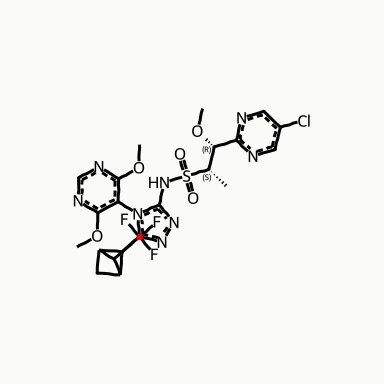 COc1ncnc(OC)c1-n1c(NS(=O)(=O)[C@@H](C)[C@H](OC)c2ncc(Cl)cn2)nnc1C1C2CC1C2C(F)(F)F